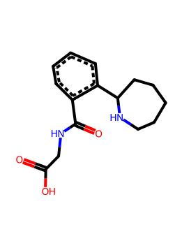 O=C(O)CNC(=O)c1ccccc1C1CCCCCN1